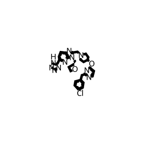 Clc1ccc(Cc2nccc(OC3CCN(Cc4nc5ccc(-c6nnn[nH]6)nc5n4C[C@@H]4CCO4)CC3)n2)cc1